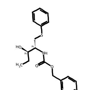 CC[C@@H](O)[C@H](CSc1ccccc1)NC(=O)OCc1ccccc1